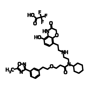 Cc1nc(-c2cccc(CCOCCC(=O)N(CCNCCc3ccc(O)c4c3OCC(=O)N4)C3CCCCC3)c2)no1.O=C(O)C(F)(F)F